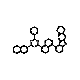 c1ccc(-c2nc(-c3ccc4ccccc4c3)nc(-c3cccc4c(-c5cccc6oc7cc8ccccc8nc7c56)cccc34)n2)cc1